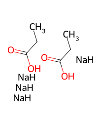 CCC(=O)O.CCC(=O)O.[NaH].[NaH].[NaH].[NaH]